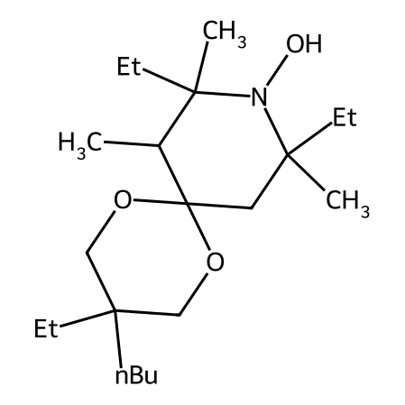 CCCCC1(CC)COC2(CC(C)(CC)N(O)C(C)(CC)C2C)OC1